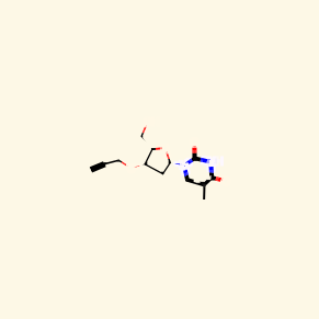 C#CCO[C@@H]1C[C@H](n2cc(C)c(=O)[nH]c2=O)O[C@@H]1CO